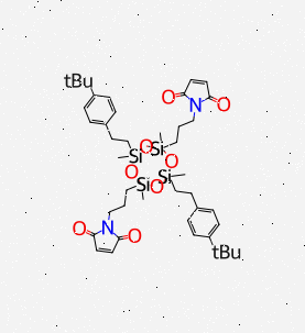 CC(C)(C)c1ccc(CC[Si]2(C)O[Si](C)(CCCN3C(=O)C=CC3=O)O[Si](C)(CCc3ccc(C(C)(C)C)cc3)O[Si](C)(CCCN3C(=O)C=CC3=O)O2)cc1